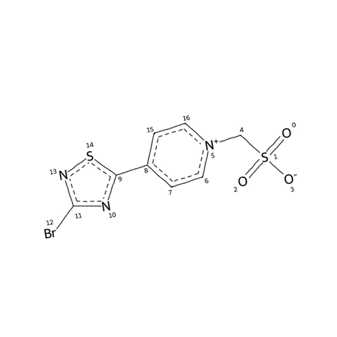 O=S(=O)([O-])C[n+]1ccc(-c2nc(Br)ns2)cc1